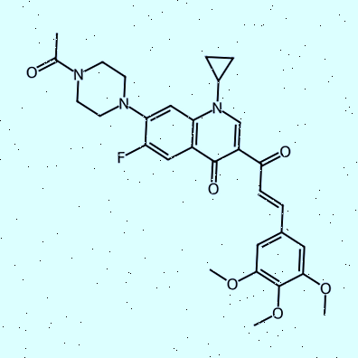 COc1cc(/C=C/C(=O)c2cn(C3CC3)c3cc(N4CCN(C(C)=O)CC4)c(F)cc3c2=O)cc(OC)c1OC